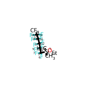 CCO[Si](C)(C)C(F)(F)C(F)(F)C(F)(F)C(F)(F)C(F)(F)C(F)(F)F